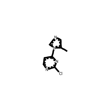 Cc1cncn1-c1ccnc(Cl)n1